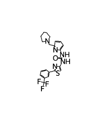 O=C(Nc1cccc(CN2CCCCC2)n1)Nc1csc(-c2cccc(C(F)(F)F)c2)n1